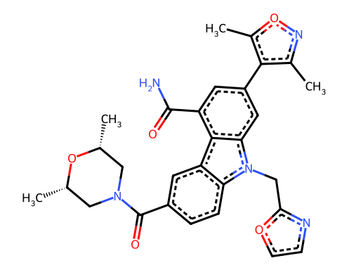 Cc1noc(C)c1-c1cc(C(N)=O)c2c3cc(C(=O)N4C[C@@H](C)O[C@@H](C)C4)ccc3n(Cc3ncco3)c2c1